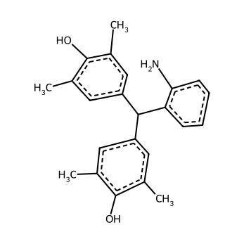 Cc1cc(C(c2cc(C)c(O)c(C)c2)c2ccccc2N)cc(C)c1O